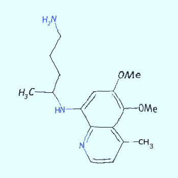 COc1cc(NC(C)CCCN)c2nccc(C)c2c1OC